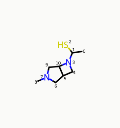 CC(S)N1CC2CN(C)CC21